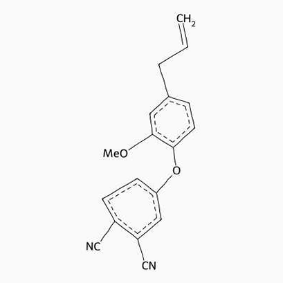 C=CCc1ccc(Oc2ccc(C#N)c(C#N)c2)c(OC)c1